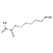 C=C(C#N)C(=O)OCCCCCCCCCCCC